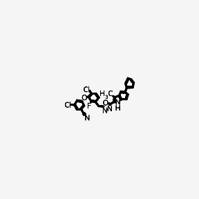 Cc1c(-c2nnc(Cc3ccc(Cl)c(Oc4cc(Cl)cc(C#N)c4)c3F)o2)[nH]c2ccc(-c3ccccc3)cc12